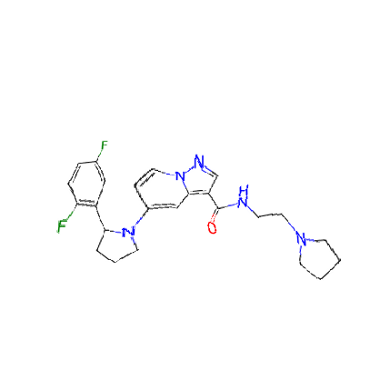 O=C(NCCN1CCCC1)c1cnn2ccc(N3CCCC3c3cc(F)ccc3F)cc12